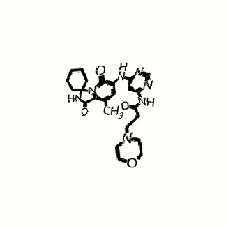 Cc1cc(Nc2cc(NC(=O)CCN3CCOCC3)ncn2)c(=O)n2c1C(=O)NC21CCCCC1